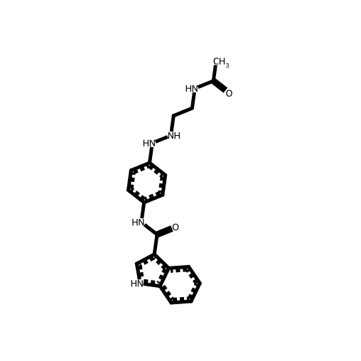 CC(=O)NCCNNc1ccc(NC(=O)c2c[nH]c3ccccc23)cc1